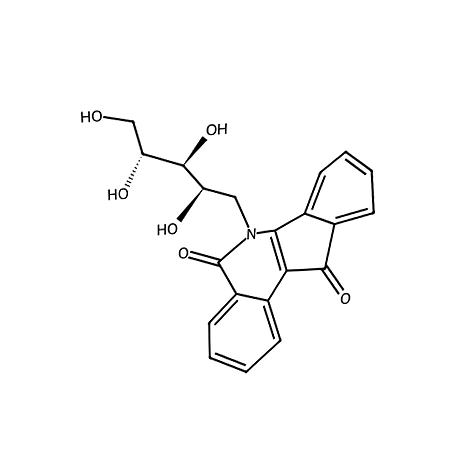 O=C1c2ccccc2-c2c1c1ccccc1c(=O)n2C[C@@H](O)[C@H](O)[C@H](O)CO